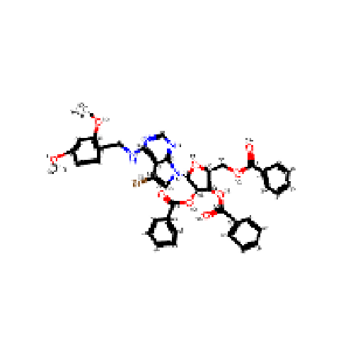 COc1ccc(CNc2ncnc3c2c(Br)cn3[C@@H]2O[C@@H](COC(=O)c3ccccc3)[C@@H](OC(=O)c3ccccc3)[C@H]2OC(=O)c2ccccc2)c(OC)c1